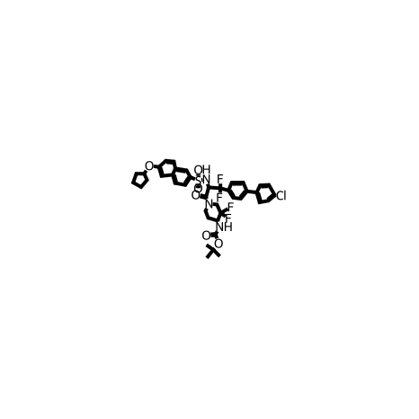 CC(C)(C)OC(=O)NC1CCN(C(=O)C(NS(=O)(=O)c2ccc3cc(OC4CCCC4)ccc3c2)C(F)(F)c2ccc(-c3ccc(Cl)cc3)cc2)CC1(F)F